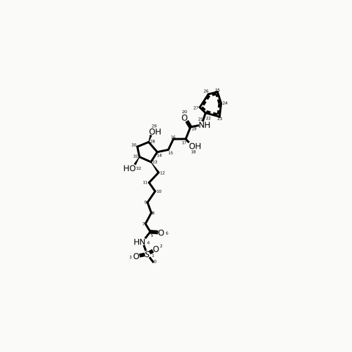 CS(=O)(=O)NC(=O)CCCCCC[C@@H]1C(CCC(O)C(=O)Nc2ccccc2)[C@H](O)C[C@@H]1O